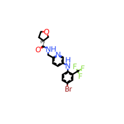 O=C(NCc1ccc(Nc2ccc(Br)cc2C(F)(F)F)cn1)[C@@H]1CCOC1